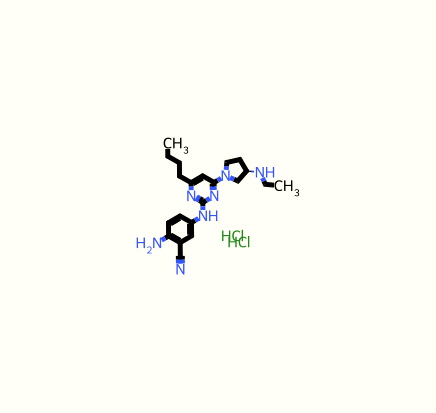 CCCCc1cc(N2CC[C@H](NCC)C2)nc(Nc2ccc(N)c(C#N)c2)n1.Cl.Cl